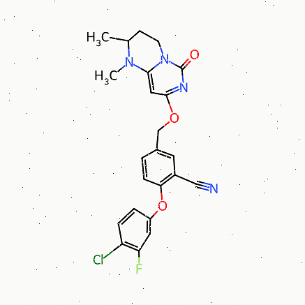 CC1CCn2c(cc(OCc3ccc(Oc4ccc(Cl)c(F)c4)c(C#N)c3)nc2=O)N1C